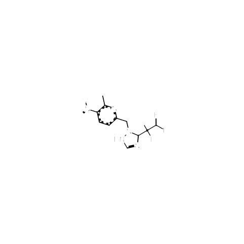 Cc1nc(CN2NC=NC2C(F)(F)C(F)F)ccc1[N+](=O)[O-]